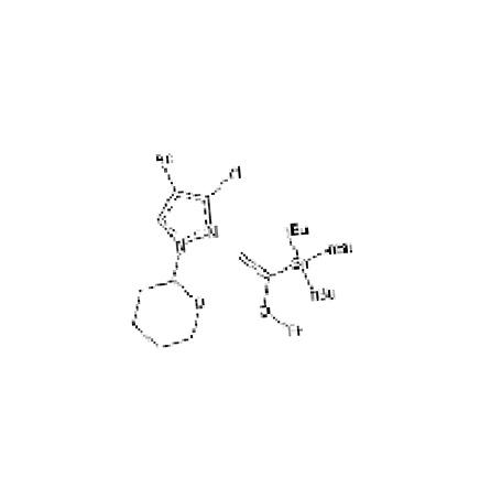 C=[C](OCC)[Sn]([CH2]CCC)([CH2]CCC)[CH2]CCC.CC(=O)c1cn(C2CCCCO2)nc1Cl